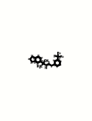 CC(C)(NCCc1cccc(C(F)(F)F)c1)c1ccc2c(c1)CCC2